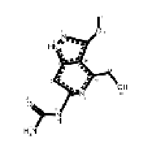 COc1n[nH]c2cc(NC(N)=O)nc(CO)c12